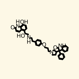 NC(=O)C(c1ccccc1)(c1ccccc1)C1CCN(CCCOc2ccc(CCNCC(O)c3ccc(O)c4[nH]c(=O)ccc34)cc2)C1